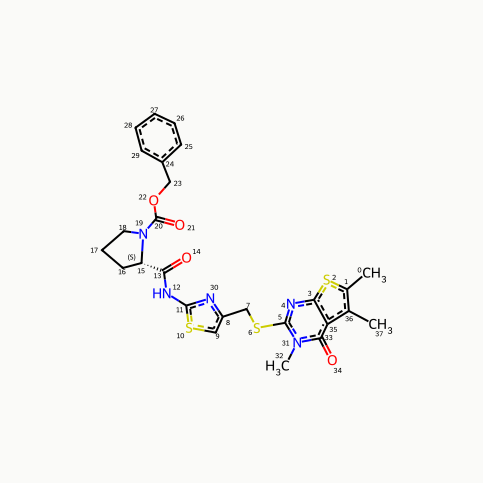 Cc1sc2nc(SCc3csc(NC(=O)[C@@H]4CCCN4C(=O)OCc4ccccc4)n3)n(C)c(=O)c2c1C